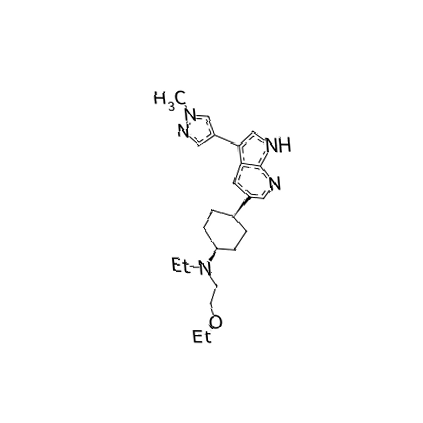 CCOCCN(CC)[C@H]1CC[C@@H](c2cnc3[nH]cc(-c4cnn(C)c4)c3c2)CC1